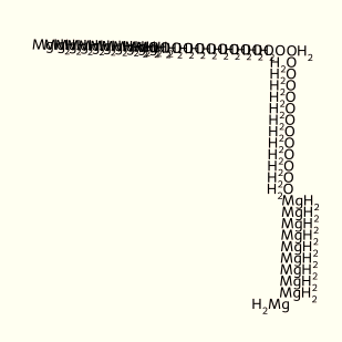 O.O.O.O.O.O.O.O.O.O.O.O.O.O.O.O.O.O.O.O.O.O.O.O.O.[MgH2].[MgH2].[MgH2].[MgH2].[MgH2].[MgH2].[MgH2].[MgH2].[MgH2].[MgH2].[MgH2].[MgH2].[MgH2].[MgH2].[MgH2].[MgH2].[MgH2].[MgH2].[MgH2].[MgH2]